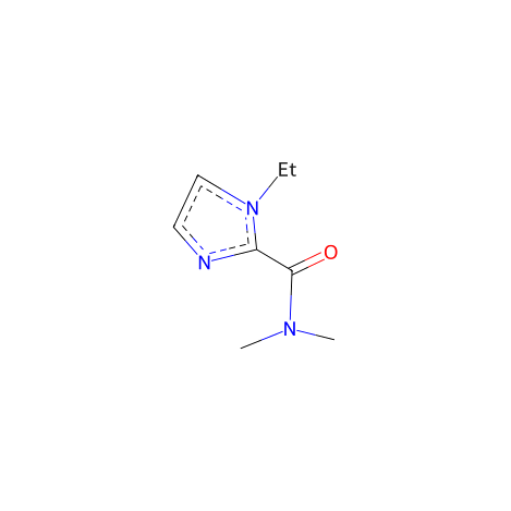 CCn1ccnc1C(=O)N(C)C